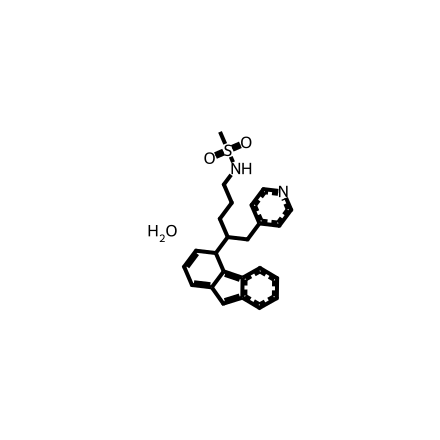 CS(=O)(=O)NCCCC(Cc1ccncc1)C1C=CC=C2C=c3ccccc3=C21.O